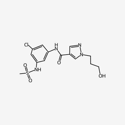 CS(=O)(=O)Nc1cc(Cl)cc(NC(=O)c2cnn(CCCO)c2)c1